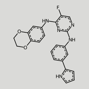 Fc1cnc(Nc2cccc(-c3ccc[nH]3)c2)nc1Nc1ccc2c(c1)OCCO2